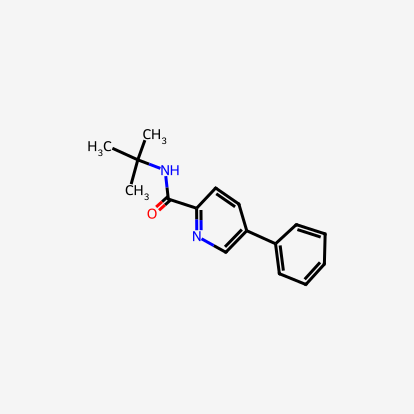 CC(C)(C)NC(=O)c1ccc(-c2ccccc2)cn1